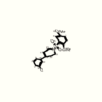 COc1ccc(OC)c(S(=O)(=O)N2CCC(C3C=CCC(Cl)=C3)CC2)c1